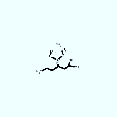 CCCC(CC(C)N)[SiH](OC)OC.N